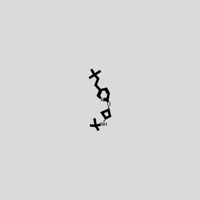 CC(C)(C)CCc1ccc(O[C@H]2C[C@@H](NC(C)(C)C)C2)nc1